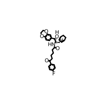 O=C(CCCCC(=O)c1ccc(F)cc1)N[C@H](CN1C2CCC1CC2)[C@H](O)c1ccc2c(c1)OCCO2